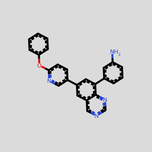 Nc1cccc(-c2cc(-c3ccc(Oc4ccccc4)nc3)cc3cncnc23)c1